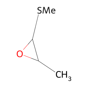 CSC1OC1C